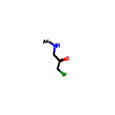 CC(=O)NCC(=O)CBr